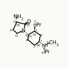 CCC[C@H]1C[C@H](N(C)C(C)C)CC[C@@H]1N1CC[C@H](N)C1=O